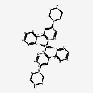 O=S(=O)(c1ncc(N2CCNCC2)cc1-c1ccccc1)c1ncc(N2CCNCC2)cc1-c1ccccc1